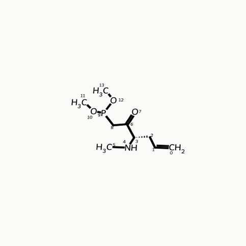 C=CC[C@H](NC)C(=O)CP(OC)OC